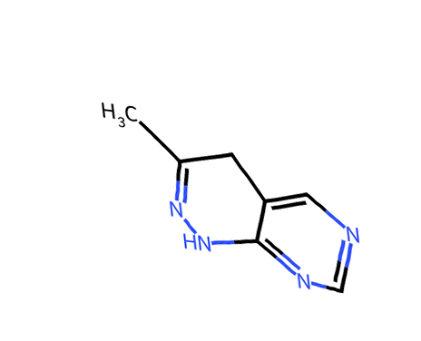 CC1=NNc2ncncc2C1